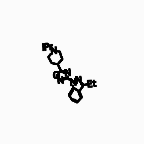 CCc1nn(-c2noc(C3CCN(C(C)C)CC3)n2)c2ccccc12